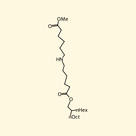 CCCCCCCCC(CCCCCC)COC(=O)CCCCCNCCCCCC(=O)OC